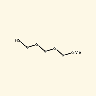 CSSSSSSS